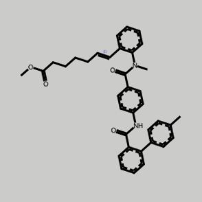 COC(=O)CCCC/C=C/c1ccccc1N(C)C(=O)c1ccc(NC(=O)c2ccccc2-c2ccc(C)cc2)cc1